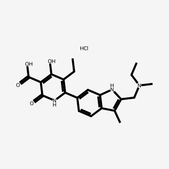 CCc1c(-c2ccc3c(C)c(CN(C)CC)[nH]c3c2)[nH]c(=O)c(C(=O)O)c1O.Cl